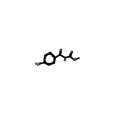 COC(=O)NC(=O)c1ccc(N)cc1